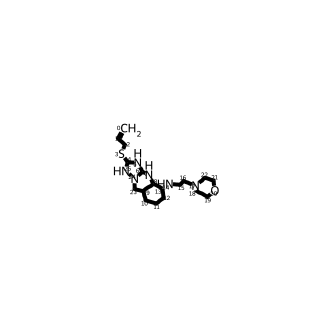 C=CCSC1NC2NC3C(CCCC3NCCN3CCOCC3)CN2N1